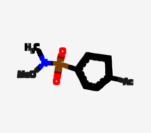 CON(C)S(=O)(=O)c1ccc(C(C)=O)cc1